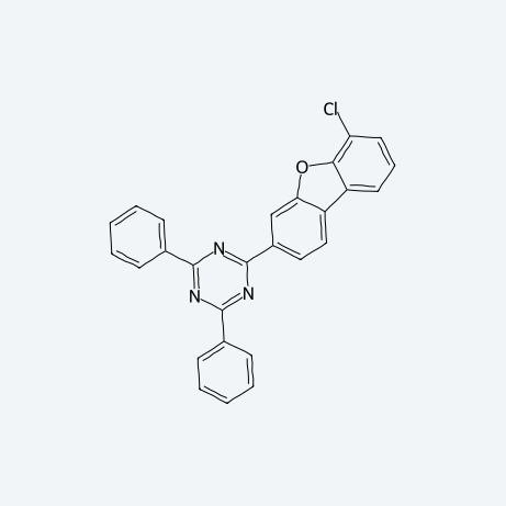 Clc1cccc2c1oc1cc(-c3nc(-c4ccccc4)nc(-c4ccccc4)n3)ccc12